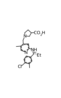 CC[C@@H](Nc1cc(CN2CCC(C(=O)O)C2)c(C)cn1)c1ccc(Cl)c(C)c1